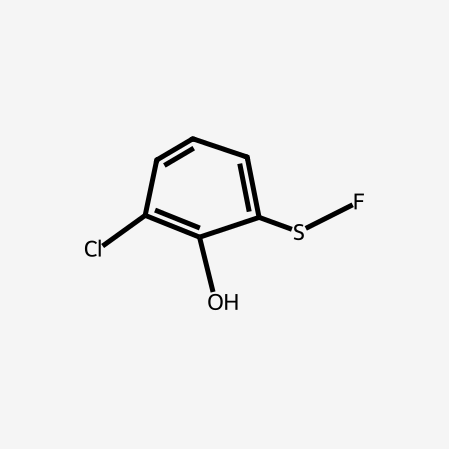 Oc1c(Cl)cccc1SF